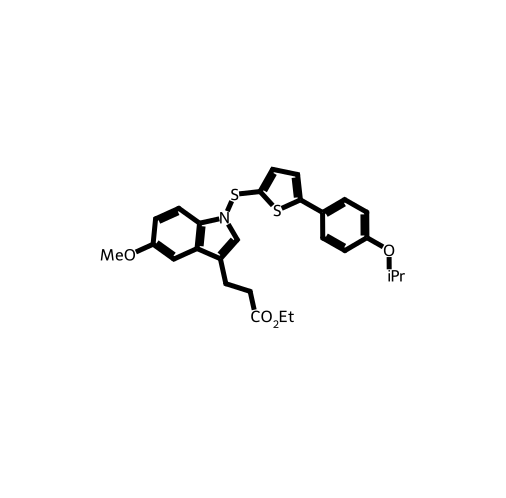 CCOC(=O)CCc1cn(Sc2ccc(-c3ccc(OC(C)C)cc3)s2)c2ccc(OC)cc12